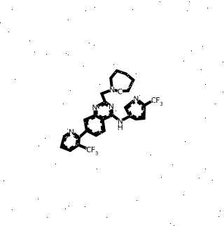 FC(F)(F)c1ccc(Nc2nc(CN3CCCCCC3)nc3cc(-c4ncccc4C(F)(F)F)ccc23)cn1